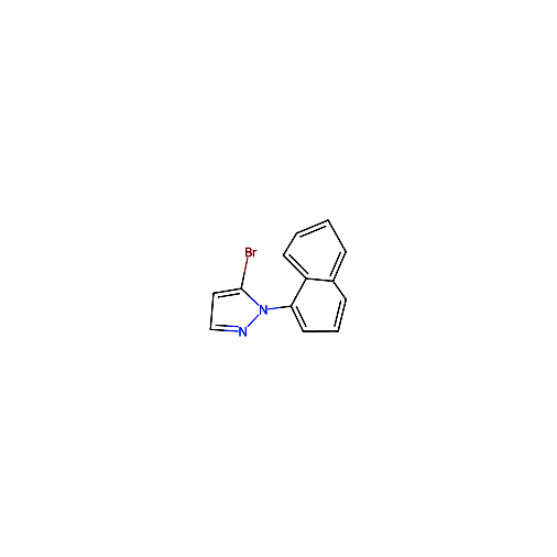 Brc1ccnn1-c1cccc2ccccc12